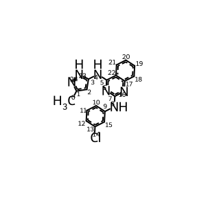 Cc1cc(Nc2nc(Nc3cccc(Cl)c3)nc3ccccc23)[nH]n1